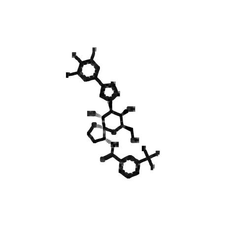 O=C(N[C@@H]1CCO[C@]12O[C@H](CO)[C@H](O)[C@H](n1cc(-c3cc(F)c(F)c(F)c3)nn1)[C@H]2O)c1cccc(C(F)(F)F)c1